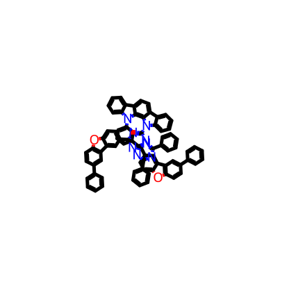 c1ccc(-c2ccc3oc4ccc(-c5nc(-c6ccc7oc8ccc(-c9ccccc9)cc8c7c6)nc(-n6c7ccccc7c7ccc8c9ccccc9n(-c9cccc(-c%10nc(-c%11ccccc%11)nc(-c%11ccccc%11)n%10)c9)c8c76)n5)cc4c3c2)cc1